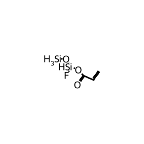 C=CC(=O)O[SiH](F)O[SiH3]